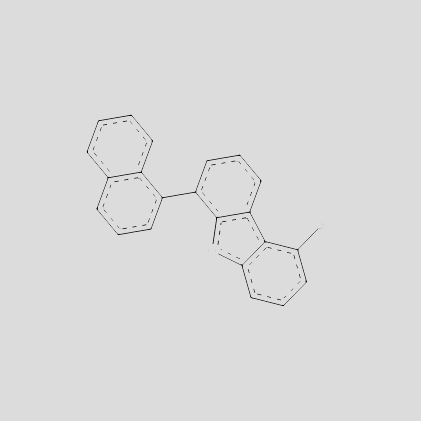 CC(C)c1cccc2oc3c(-c4cccc5ccccc45)cccc3c12